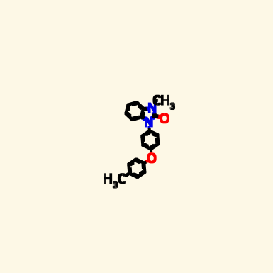 Cc1ccc(Oc2ccc(-n3c(=O)n(C)c4ccccc43)cc2)cc1